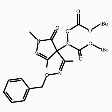 CC(=NOCc1ccccc1)C1(N(OC(=O)OC(C)(C)C)C(=O)OC(C)(C)C)C(=O)N(C)N=C1C